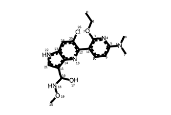 CCOc1nc(N(C)C)ccc1-c1nc2c(C(O)NOC)c[nH]c2cc1Cl